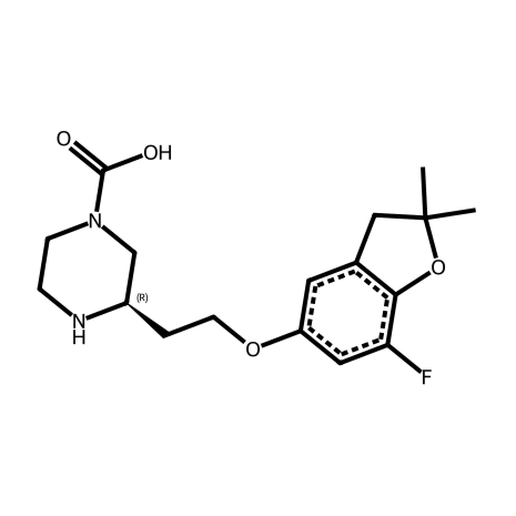 CC1(C)Cc2cc(OCC[C@@H]3CN(C(=O)O)CCN3)cc(F)c2O1